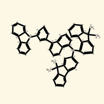 CC1(C)c2ccccc2-c2ccc(N(c3cccc4c3-c3ccccc3C4(C)C)c3cccc4c(-c5cccc(-n6c7ccccc7c7ccccc76)c5)cccc34)cc21